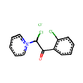 O=C(c1ccccc1Cl)C(Cl)[n+]1ccccc1.[Cl-]